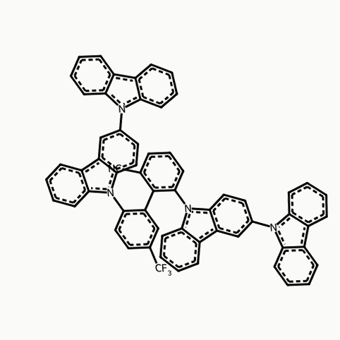 N#Cc1cccc(-n2c3ccccc3c3cc(-n4c5ccccc5c5ccccc54)ccc32)c1-c1cc(C(F)(F)F)ccc1-n1c2ccccc2c2cc(-n3c4ccccc4c4ccccc43)ccc21